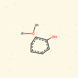 CC(C)OC(C)C.Oc1ccccc1